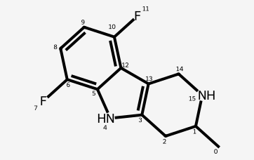 CC1Cc2[nH]c3c(F)ccc(F)c3c2CN1